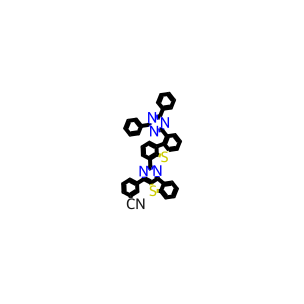 N#Cc1cccc(-c2nc(-c3cccc4c3sc3cccc(-c5nc(-c6ccccc6)nc(-c6ccccc6)n5)c34)nc3c2sc2ccccc23)c1